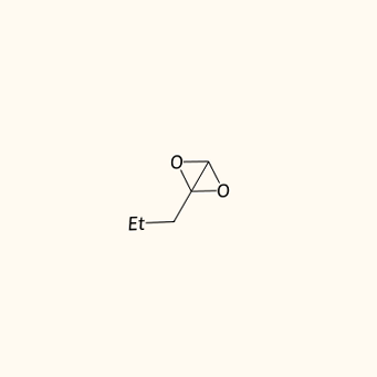 CCCC12OC1O2